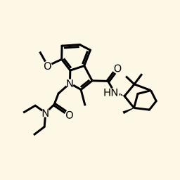 CCN(CC)C(=O)Cn1c(C)c(C(=O)N[C@@H]2C(C)(C)C3CC[C@@]2(C)C3)c2cccc(OC)c21